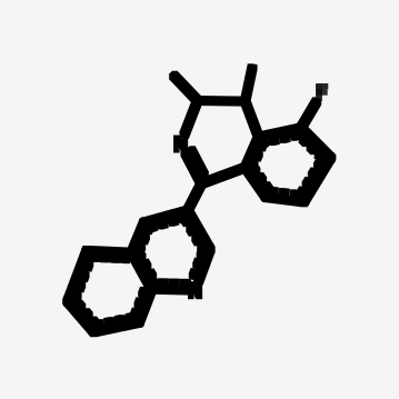 CC1N=C(c2cnc3ccccc3c2)c2cccc(F)c2C1C